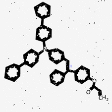 C=CC(=O)Oc1ccc(/C(=C/c2ccc(N(c3ccc(-c4ccccc4)cc3)c3ccc(-c4ccccc4)cc3)cc2)c2ccccc2)cc1